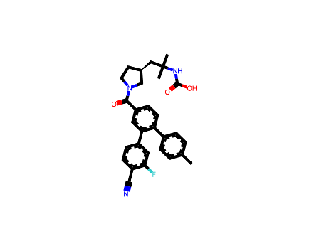 Cc1ccc(-c2ccc(C(=O)N3CC[C@@H](CC(C)(C)NC(=O)O)C3)cc2-c2ccc(C#N)c(F)c2)cc1